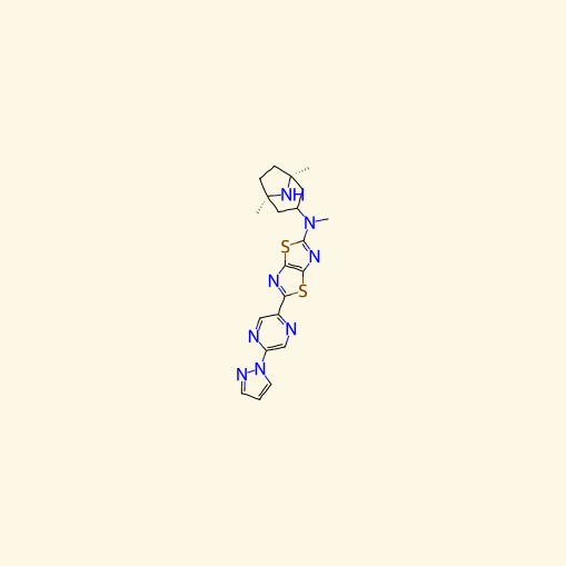 CN(c1nc2sc(-c3cnc(-n4cccn4)cn3)nc2s1)C1C[C@]2(C)CC[C@](C)(C1)N2